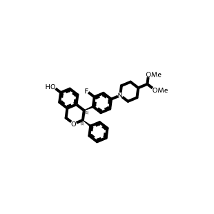 COC(OC)C1CCN(c2ccc([C@@H]3c4ccc(O)cc4CO[C@@H]3c3ccccc3)c(F)c2)CC1